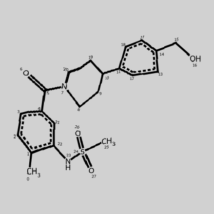 Cc1ccc(C(=O)N2CCC(c3ccc(CO)cc3)CC2)cc1NS(C)(=O)=O